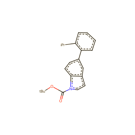 CC(C)c1ccccc1-c1ccc2c(ccn2C(=O)OC(C)(C)C)c1